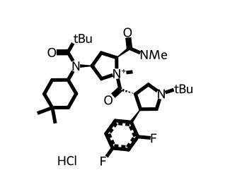 CNC(=O)[C@@H]1C[C@H](N(C(=O)C(C)(C)C)C2CCC(C)(C)CC2)C[N+]1(C)C(=O)[C@@H]1CN(C(C)(C)C)C[C@H]1c1ccc(F)cc1F.Cl